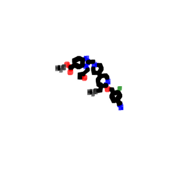 CCC1=C/CC(C2CCN(Cc3nc4ccc(C(=O)OC)cc4n3C[C@@H]3CCO3)CC2)CC/N=C\1OCc1ccc(C#N)cc1F